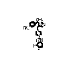 C[C@H](c1ccc(C#N)cc1)n1cncc1CN1CCN(c2nc3ccc(F)c(F)c3o2)CC1